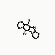 Brc1c2ccccc2c(Br)c2c1nc1ccccn12